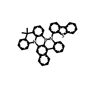 CC1(C)c2ccccc2N2c3cc4ccccc4c4c3B(c3cccc1c32)N(c1cccc2c1sc1ccccc12)c1ccccc1-4